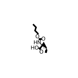 C=C[C@@H]1C[C@]1(NC(=O)OCCCC)C(=O)O